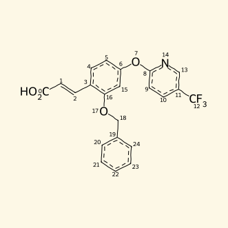 O=C(O)C=Cc1ccc(Oc2ccc(C(F)(F)F)cn2)cc1OCc1ccccc1